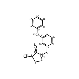 O=C1C(Cl)CCN1Cc1cccc(Oc2ccccc2)c1